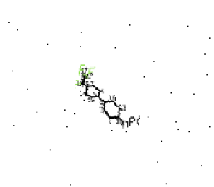 CCCC1CCC(C2CCC(C(F)=C(F)F)CC2)CC1